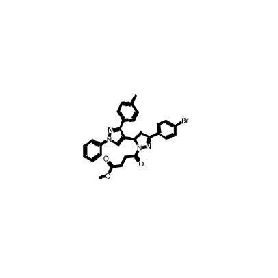 COC(=O)CCC(=O)N1N=C(c2ccc(Br)cc2)CC1c1cn(-c2ccccc2)nc1-c1ccc(C)cc1